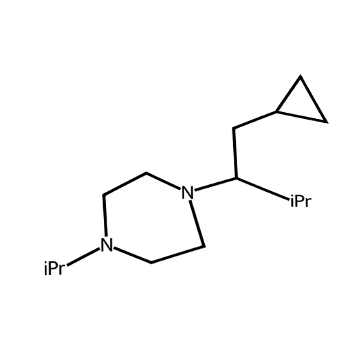 CC(C)C(CC1CC1)N1CCN(C(C)C)CC1